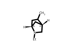 CCN1C[C@@H]2C[C@H]1CC2C